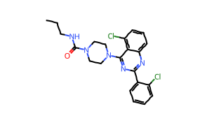 CCCNC(=O)N1CCN(c2nc(-c3ccccc3Cl)nc3cccc(Cl)c23)CC1